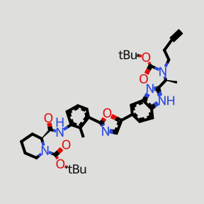 C#CCCN(C(=O)OC(C)(C)C)[C@@H](C)c1nc2cc(-c3cnc(-c4cccc(NC(=O)[C@@H]5CCCCN5C(=O)OC(C)(C)C)c4C)o3)ccc2[nH]1